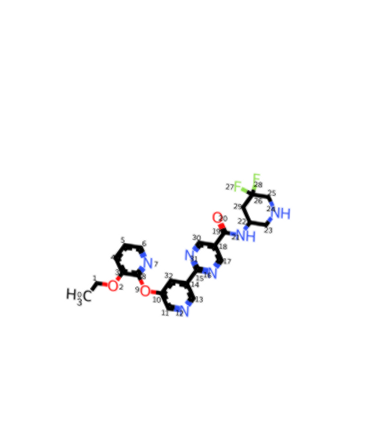 CCOc1cccnc1Oc1cncc(-c2ncc(C(=O)NC3CNCC(F)(F)C3)cn2)c1